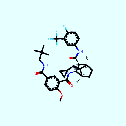 COc1ccc(C(=O)NCC(C)(C)C)cc1C(=O)N[C@H]1[C@@H](C(=O)Nc2ccc(F)c(C(F)(F)F)c2)[C@H]2CC[C@@H]1/C2=C\C1CC1